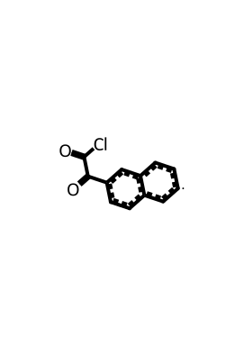 O=C(Cl)C(=O)c1ccc2c[c]ccc2c1